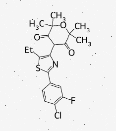 CCc1sc(-c2ccc(Cl)c(F)c2)nc1C1C(=O)C(C)(C)OC(C)(C)C1=O